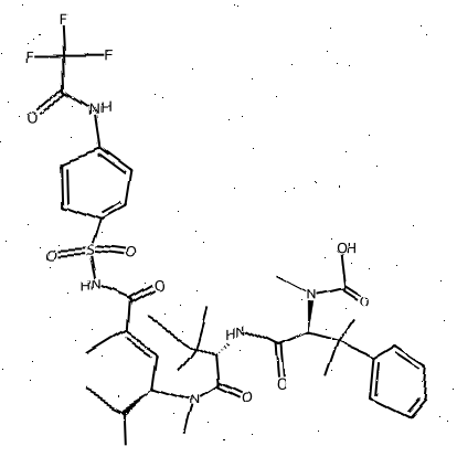 CC(=C[C@H](C(C)C)N(C)C(=O)[C@@H](NC(=O)[C@@H](N(C)C(=O)O)C(C)(C)c1ccccc1)C(C)(C)C)C(=O)NS(=O)(=O)c1ccc(NC(=O)C(F)(F)F)cc1